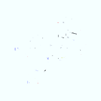 C[C@@H](O)[C@H]1C(=O)N2C(C(=O)O)=C(S[C@H]3C[C@@H](CNS(N)(=O)=O)N(Cc4ccccc4C(N)=O)C3)[C@H](C)[C@H]12